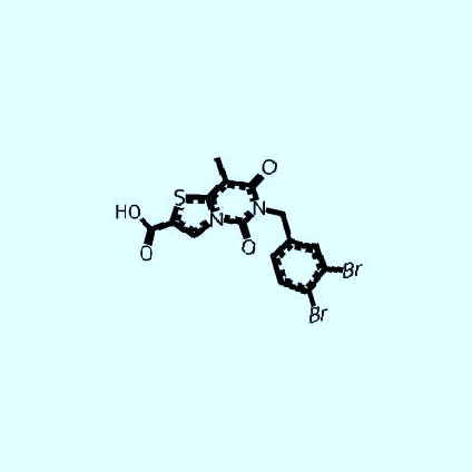 Cc1c(=O)n(Cc2ccc(Br)c(Br)c2)c(=O)n2cc(C(=O)O)sc12